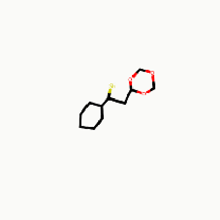 SC(CC1OCOCO1)C1CCCCC1